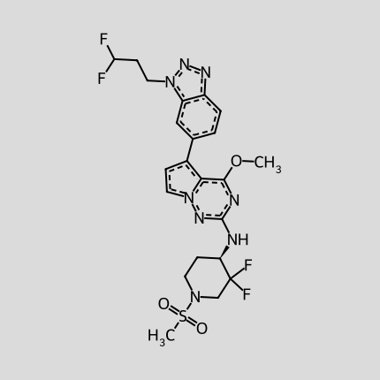 COc1nc(N[C@@H]2CCN(S(C)(=O)=O)CC2(F)F)nn2ccc(-c3ccc4nnn(CCC(F)F)c4c3)c12